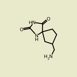 NCC1CCC2(C1)NC(=O)NC2=O